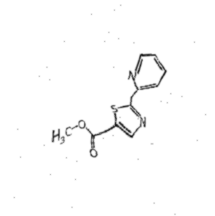 COC(=O)c1cnc(-c2ccccn2)s1